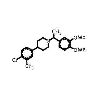 COc1ccc(C(C)N2CCC(c3ccc(Cl)c(C(F)(F)F)c3)CC2)cc1OC